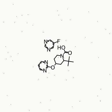 CC(C)(C)C1CC(Oc2ncccn2)CCN1C(=O)O.Fc1cncnc1